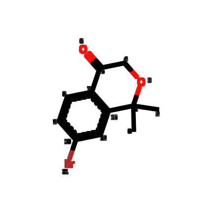 CC1(C)OCC(=O)c2ccc(Br)cc21